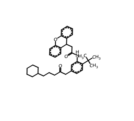 CC(C)(C)c1ccc(CC(=O)CCCC2CCCCC2)cc1NC(=O)CC1c2ccccc2Oc2ccccc21